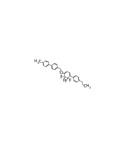 CCCc1ccc(C2=CC=C(OCc3ccc(-c4ccc(C)cc4)cc3)C(F)(F)C2(F)F)cc1